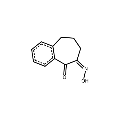 O=C1/C(=N\O)CCCc2ccccc21